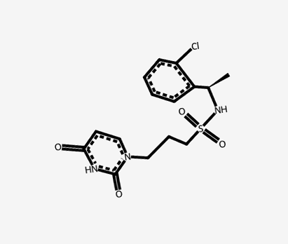 C[C@@H](NS(=O)(=O)CCCn1ccc(=O)[nH]c1=O)c1ccccc1Cl